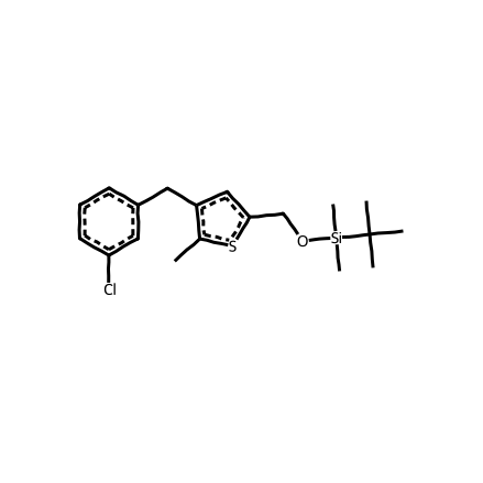 Cc1sc(CO[Si](C)(C)C(C)(C)C)cc1Cc1cccc(Cl)c1